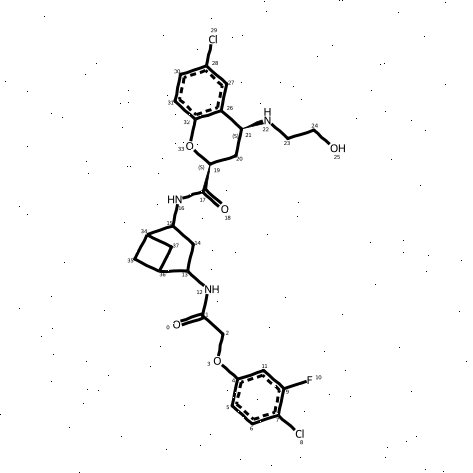 O=C(COc1ccc(Cl)c(F)c1)NC1CC(NC(=O)[C@@H]2C[C@H](NCCO)c3cc(Cl)ccc3O2)C2CC1C2